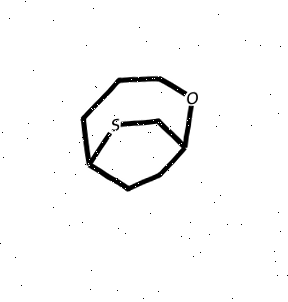 C1COC2CCC(C1)SC2